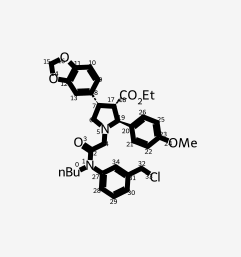 CCCCN(C(=O)CN1C[C@H](c2ccc3c(c2)OCO3)[C@H](C(=O)OCC)[C@H]1c1ccc(OC)cc1)c1cccc(CCl)c1